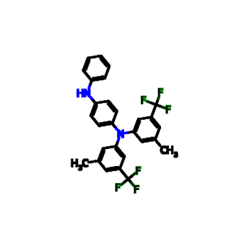 Cc1cc(N(c2ccc(Nc3ccccc3)cc2)c2cc(C)cc(C(F)(F)F)c2)cc(C(F)(F)F)c1